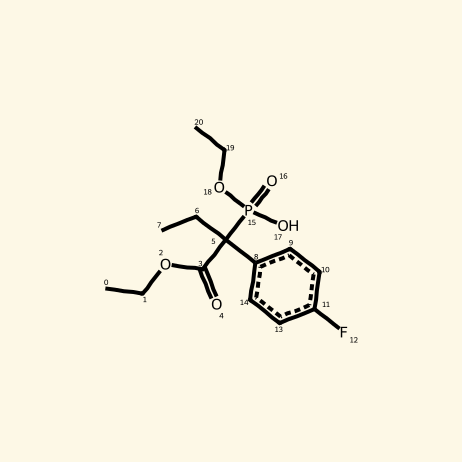 CCOC(=O)C(CC)(c1ccc(F)cc1)P(=O)(O)OCC